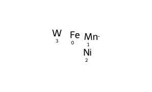 [Fe].[Mn].[Ni].[W]